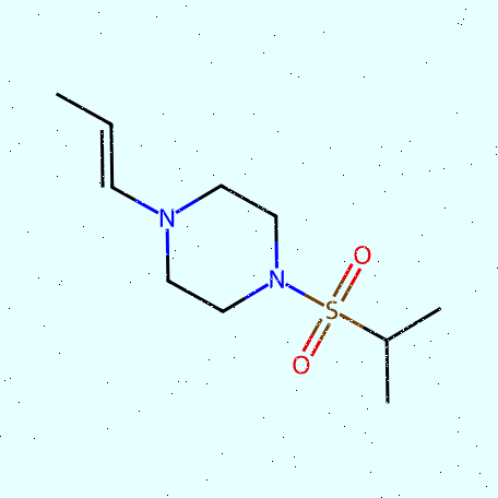 C/C=C/N1CCN(S(=O)(=O)C(C)C)CC1